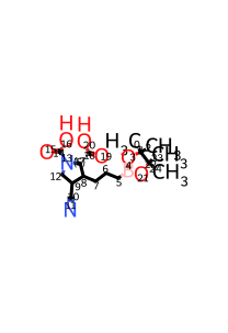 CC1(C)OB(CCCC2C(C#N)CN(C(=O)O)[C@@H]2C(=O)O)OC1(C)C